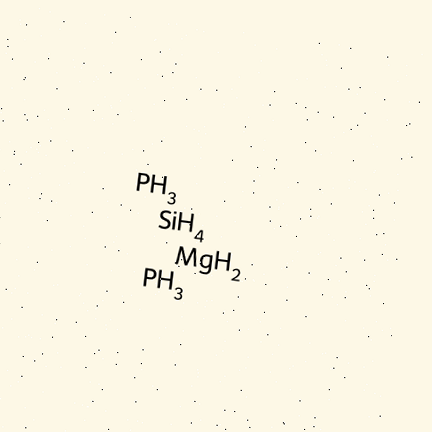 P.P.[MgH2].[SiH4]